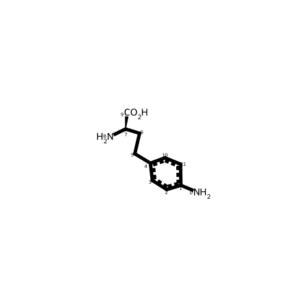 Nc1ccc(CC[C@@H](N)C(=O)O)cc1